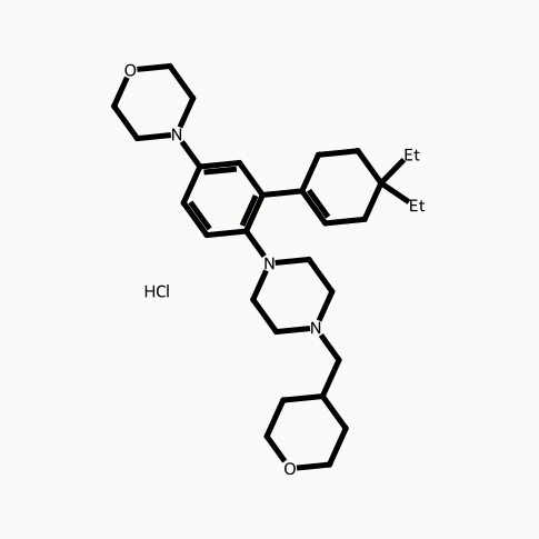 CCC1(CC)CC=C(c2cc(N3CCOCC3)ccc2N2CCN(CC3CCOCC3)CC2)CC1.Cl